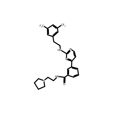 O=C(NCCN1CCCC1)c1cccc(-c2ccnc(NCCc3cc(C(F)(F)F)cc(C(F)(F)F)c3)n2)c1